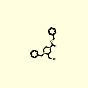 O=C(OCc1ccccc1)N1CCN(Cc2ccccc2)C(CO)C1